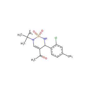 CC(=O)C1=CN(C(C)(C)C)S(=O)(=O)NC1c1ccc(C)cc1Cl